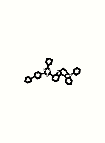 C1=CC2C(c3ccccc3N2c2ccccc2)c2c1oc1c(-c3nc(-c4ccccc4)nc(-c4ccc(-c5ccccc5)cc4)n3)cccc21